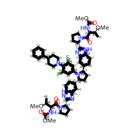 COC(=O)N[C@H](C(=O)N1CCC[C@H]1c1nc2cc([C@H]3CC[C@H](c4ccc5[nH]c([C@@H]6CCCN6C(=O)[C@@H](NC(=O)OC)[C@@H](C)OC)nc5c4)N3c3cc(F)c(N4CCC(c5ccccc5)CC4)c(F)c3)ccc2[nH]1)[C@@H](C)OC